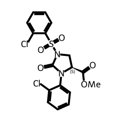 COC(=O)[C@@H]1CN(S(=O)(=O)c2ccccc2Cl)C(=O)N1c1ccccc1Cl